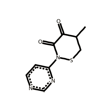 CC1CSN(c2ccn[c]n2)C(=O)C1=O